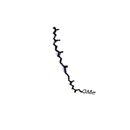 COCCC(C)CC/C=C(\C)CC/C=C(\C)CC/C=C(\C)CC/C=C(\C)CCC=C(C)C